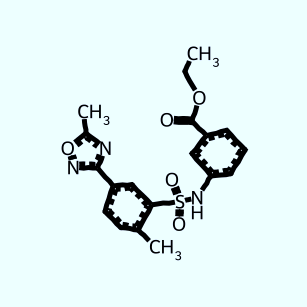 CCOC(=O)c1cccc(NS(=O)(=O)c2cc(-c3noc(C)n3)ccc2C)c1